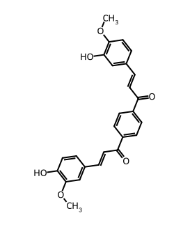 COc1ccc(C=CC(=O)c2ccc(C(=O)C=Cc3ccc(O)c(OC)c3)cc2)cc1O